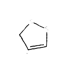 [CH]1C=CSS1